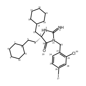 N=C1N[C@](CCC2CCCCC2)(CC2CCCCC2)C(=O)N1Cc1ccc(I)cc1Cl